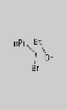 CCBr.CCCCBr